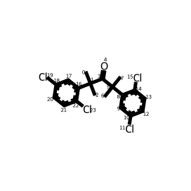 CC(C)(C(=O)C(C)(C)c1cc(Cl)ccc1Cl)c1cc(Cl)ccc1Cl